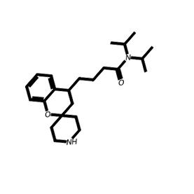 CC(C)N(C(=O)CCCC1CC2(CCNCC2)Oc2ccccc21)C(C)C